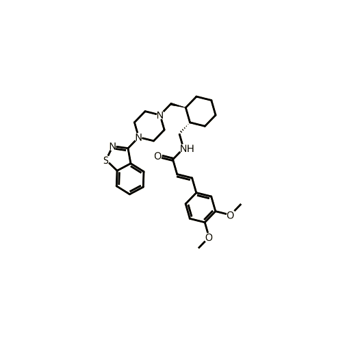 COc1ccc(/C=C/C(=O)NC[C@H]2CCCC[C@@H]2CN2CCN(c3nsc4ccccc34)CC2)cc1OC